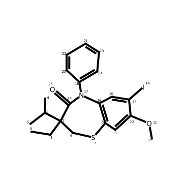 CCC1(C(C)C)CSc2cc(OC)c(I)cc2N(c2ccccc2)C1=O